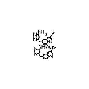 CC(=O)Nc1cc(Cc2ccc3ncc(C4CC4)cc3c2)ncn1.Nc1cc(Cc2ccc3ncc(C4CC4)cc3c2)ncn1